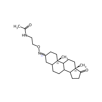 CC(=O)NCCO/N=C1\CC[C@@]2(C)C(CCC3C2CC[C@]2(C)C(=O)CCC32)C1